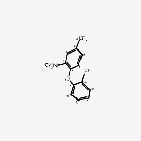 O=[N+]([O-])c1cc(C(F)(F)F)ccc1Oc1ccccc1I